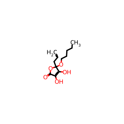 C=CCC1(OCCCCC)OC(=O)C(O)=C1O